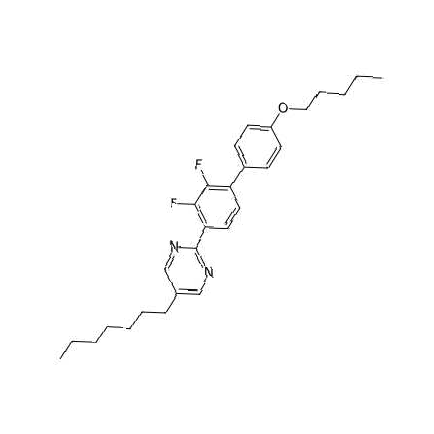 CCCCCCCc1cnc(-c2ccc(-c3ccc(OCCCCC)cc3)c(F)c2F)nc1